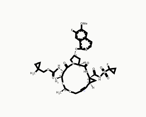 COc1cc2ccnc(O[C@@H]3C[C@H]4C(=O)N[C@]5(C(=O)NS(=O)(=O)C6(F)CC6)C[C@H]5/C=C\CC[C@@H](C)C[C@@H](C)[C@H](NC(=O)OCC5(C)CC5)C(=O)N4C3)c2cc1F